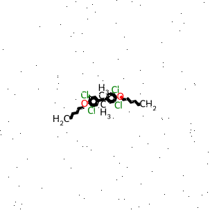 C=CCCCCOc1c(Cl)cc(C(C)(C)c2cc(Cl)c(OCCCCC=C)c(Cl)c2)cc1Cl